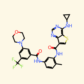 Cc1ccc(NC(=O)c2cc(N3CCOCC3)cc(C(F)(F)F)c2)cc1NC(=O)c1csc2c(NC3CC3)ncnc12